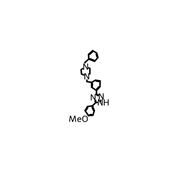 COc1ccc(-c2nc(-c3cccc(CN4CCN(Cc5ccccc5)CC4)c3)n[nH]2)cc1